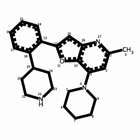 Cc1cc(N2CCCCC2)c2oc(-c3ccccc3C3CCNCC3)cc2n1